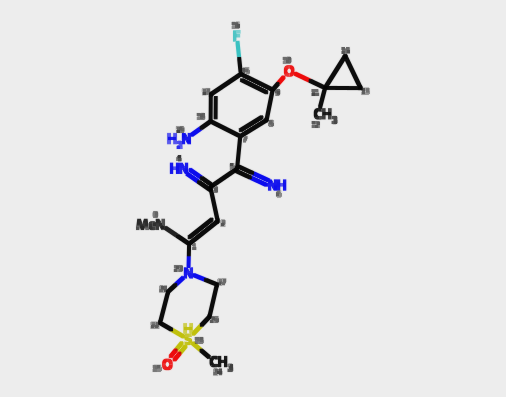 CN/C(=C\C(=N)C(=N)c1cc(OC2(C)CC2)c(F)cc1N)N1CC[SH](C)(=O)CC1